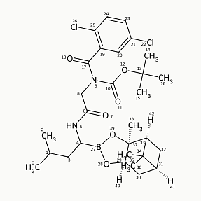 CC(C)CC(NC(=O)CN(C(=O)OC(C)(C)C)C(=O)c1cc(Cl)ccc1Cl)B1O[C@@H]2C[C@@H]3C[C@@H](C3(C)C)[C@]2(C)O1